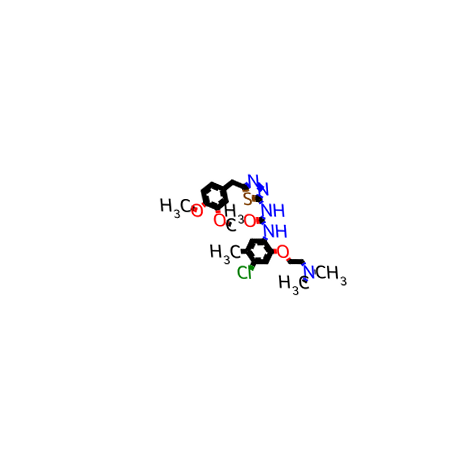 COc1ccc(Cc2nnc(NC(=O)Nc3cc(C)c(Cl)cc3OCCN(C)C)s2)cc1OC